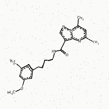 COc1cc(C)cc(CCCNC(=O)c2cnn3c(C)cc(C)nc23)c1